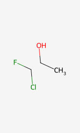 CCO.FCCl